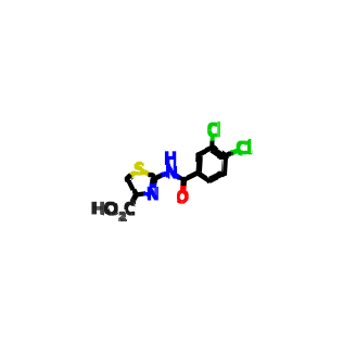 O=C(NC1=NC(C(=O)O)CS1)c1ccc(Cl)c(Cl)c1